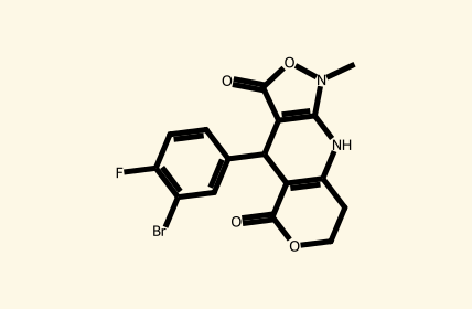 Cn1oc(=O)c2c1NC1=C(C(=O)OCC1)C2c1ccc(F)c(Br)c1